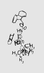 CC1(C)CC(NC(=O)[C@H](CCCNC(=O)OCC2c3ccccc3-c3ccccc32)NC(=O)[C@@H]2CCCN2)CC(C)(C)N1O